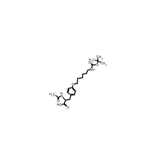 CC(=O)NC(Cc1ccc(OCCCCCCNC(=O)OC(C)(C)C)cc1)C(=O)O